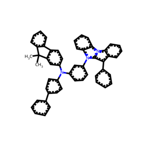 CC1(C)c2ccccc2-c2ccc(N(c3ccc(-c4ccccc4)cc3)c3cccc(-n4c5ccccc5n5c6ccccc6c(-c6ccccc6)c45)c3)cc21